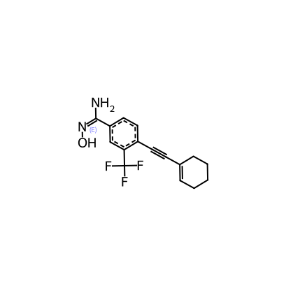 N/C(=N/O)c1ccc(C#CC2=CCCCC2)c(C(F)(F)F)c1